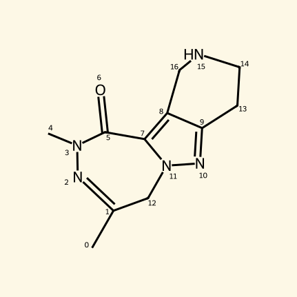 CC1=NN(C)C(=O)c2c3c(nn2C1)CCNC3